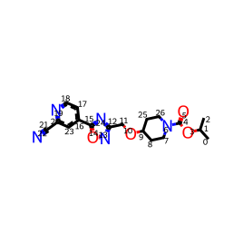 CC(C)OC(=O)N1CCC(OCc2noc(-c3ccnc(C#N)c3)n2)CC1